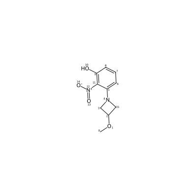 COC1CN(c2cccc(O)c2[N+](=O)[O-])C1